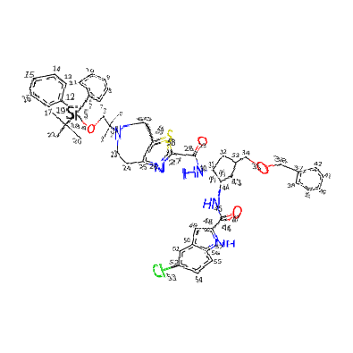 CC(C)(CO[Si](c1ccccc1)(c1ccccc1)C(C)(C)C)N1CCc2nc(C(=O)N[C@@H]3CC(COCc4ccccc4)C[C@H]3NC(=O)c3cc4cc(Cl)ccc4[nH]3)sc2C1